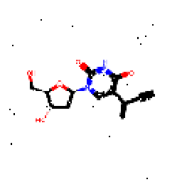 C#CC(=C)c1cn([C@H]2C[C@H](O)[C@@H](CO)O2)c(=O)[nH]c1=O